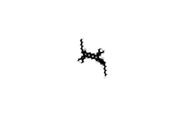 CCCCCCc1cc2c(s1)-c1cc3cc4c(cc3cc1C2(CCCC)CCCC)-c1sc2c(sc3cc(CCCCCC)sc32)c1C4(CCCC)CCCC